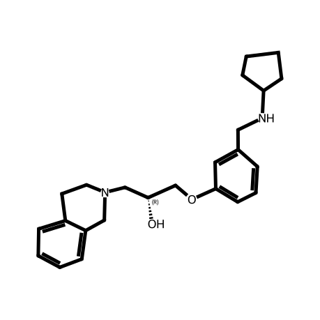 O[C@@H](COc1cccc(CNC2CCCC2)c1)CN1CCc2ccccc2C1